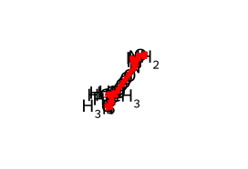 Cc1ncsc1-c1ccc(CNC(=O)[C@@H]2C[C@@H](O)CN2C(=O)CC(C)(C)CNC(=O)COCCOCCOCCOCCOCCCCCCN2CCC(n3nc(-c4ccc(Oc5ccccc5)cc4)c4c(N)ncnc43)CC2)cc1